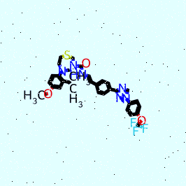 COc1ccc(N2CCSCN(C(=O)N/C=C/c3ccc(-c4ncn(-c5ccc(OC(F)(F)F)cc5)n4)cc3)C2)c(C(C)C)c1